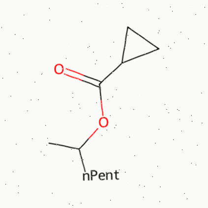 CCCCCC(C)OC(=O)C1CC1